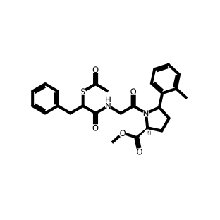 COC(=O)[C@@H]1CCC(c2ccccc2C)N1C(=O)CNC(=O)C(Cc1ccccc1)SC(C)=O